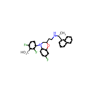 C[C@@H](NCCC1CN(c2ccc(F)c(C(=O)O)c2F)c2ccc(F)cc2O1)c1cccc2ccccc12